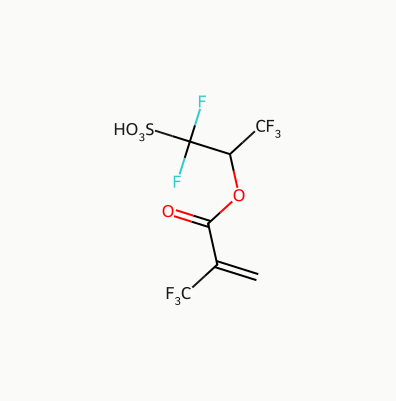 C=C(C(=O)OC(C(F)(F)F)C(F)(F)S(=O)(=O)O)C(F)(F)F